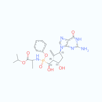 C=C1[C@@H]([C@@H](O)P(=O)(NC(C)C(=O)OC(C)C)Oc2ccccc2)[C@@H](O)C[C@@H]1n1cnc2c(=O)[nH]c(N)nc21